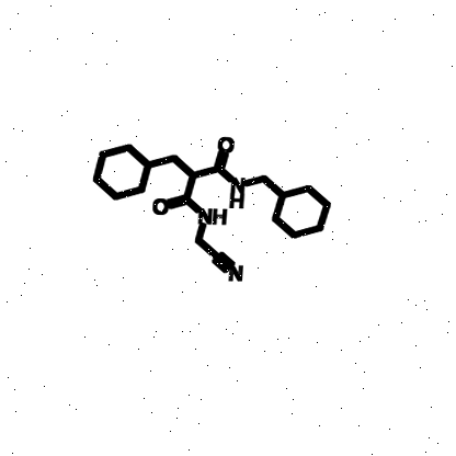 N#CCNC(=O)C(CC1CCCCC1)C(=O)NCC1CCCCC1